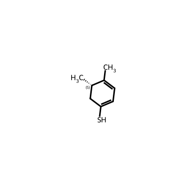 CC1=CC=C(S)C[C@@H]1C